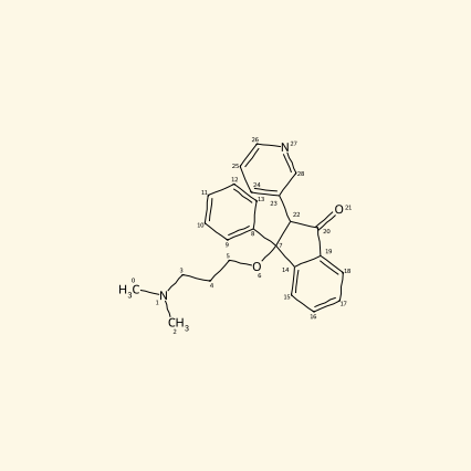 CN(C)CCCOC1(c2ccccc2)c2ccccc2C(=O)C1c1cccnc1